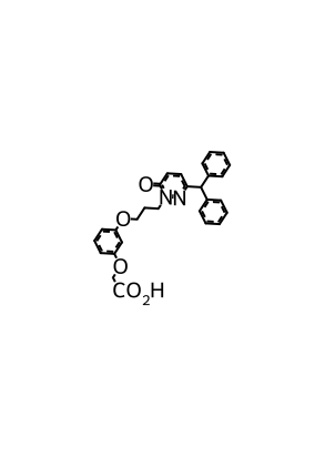 O=C(O)COc1cccc(OCCCn2nc(C(c3ccccc3)c3ccccc3)ccc2=O)c1